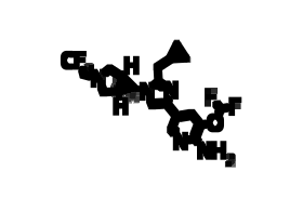 Nc1ncc(-c2cn([C@@H]3[C@@H]4CN(CC(F)(F)F)C[C@@H]43)c(CC3CC3)n2)cc1OC(F)F